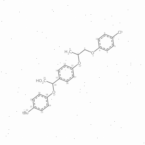 CC(COc1ccc(Cl)cc1)Oc1ccc(C(Oc2ccc(C(C)(C)C)cc2)C(=O)O)cc1